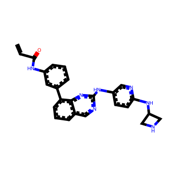 C=CC(=O)Nc1cccc(-c2cccc3cnc(Nc4ccc(NC5CNC5)nc4)nc23)c1